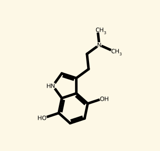 CN(C)CCc1c[nH]c2c(O)ccc(O)c12